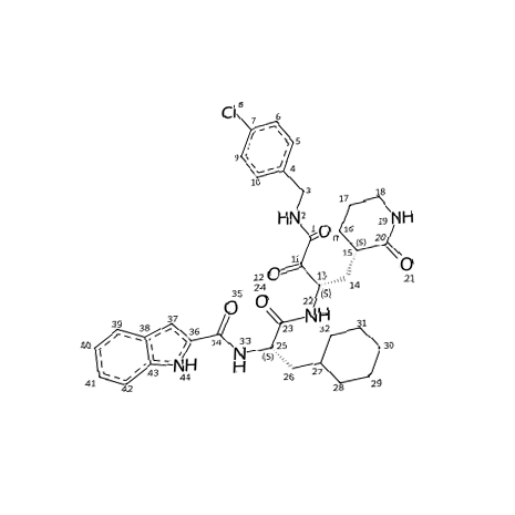 O=C(NCc1ccc(Cl)cc1)C(=O)[C@H](C[C@@H]1CCCNC1=O)NC(=O)[C@H](CC1CCCCC1)NC(=O)c1cc2ccccc2[nH]1